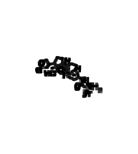 CC(C)[C@@H](N)C(=O)N[C@H]1CC[C@@]2(C)[C@H](CC[C@@H]3[C@@H]2C[C@@H](O)[C@]2(C)[C@@H](C4=CC(=O)OC4)CC[C@]32O)C1